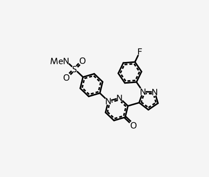 CNS(=O)(=O)c1ccc(-n2ccc(=O)c(-c3ccnn3-c3cccc(F)c3)n2)cc1